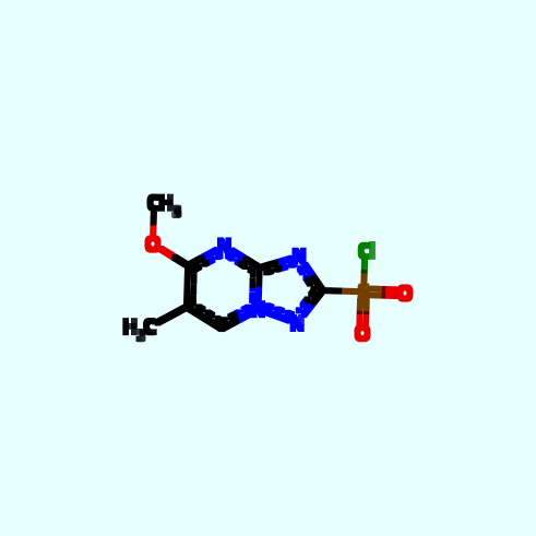 COc1nc2nc(S(=O)(=O)Cl)nn2cc1C